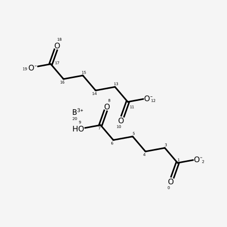 O=C([O-])CCCCC(=O)O.O=C([O-])CCCCC(=O)[O-].[B+3]